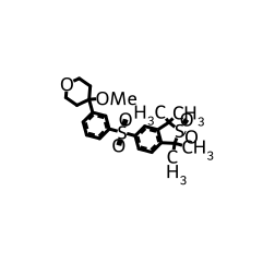 COC1(c2cccc(S(=O)(=O)c3ccc4c(c3)C(C)(C)S(=O)(=O)C4(C)C)c2)CCOCC1